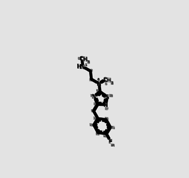 CNCCN(C)c1nc(Cc2ccc(F)cc2)ns1